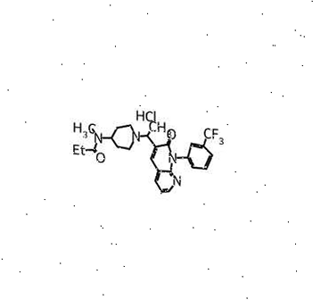 CCC(=O)N(C)C1CCN(C(C)c2cc3cccnc3n(-c3cccc(C(F)(F)F)c3)c2=O)CC1.Cl